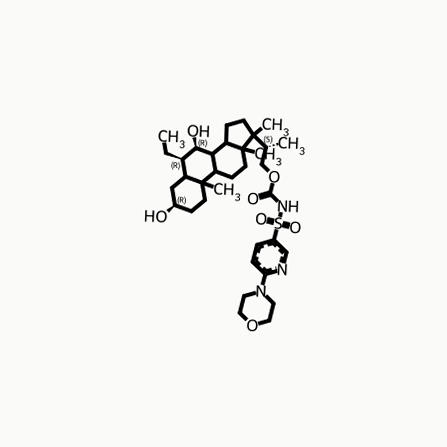 CC[C@@H]1C2C[C@H](O)CCC2(C)C2CCC3(C)C(CCC3(C)[C@H](C)COC(=O)NS(=O)(=O)c3ccc(N4CCOCC4)nc3)C2[C@@H]1O